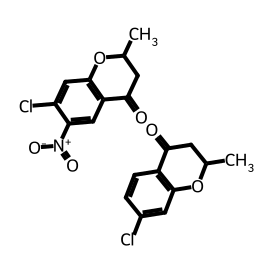 CC1CC(=O)c2cc([N+](=O)[O-])c(Cl)cc2O1.CC1CC(=O)c2ccc(Cl)cc2O1